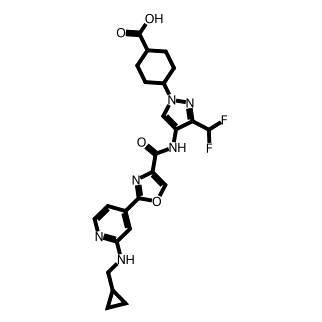 O=C(Nc1cn(C2CCC(C(=O)O)CC2)nc1C(F)F)c1coc(-c2ccnc(NCC3CC3)c2)n1